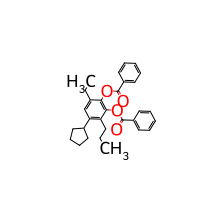 CCCc1c(C2CCCC2)cc(CC)c(OC(=O)c2ccccc2)c1OC(=O)c1ccccc1